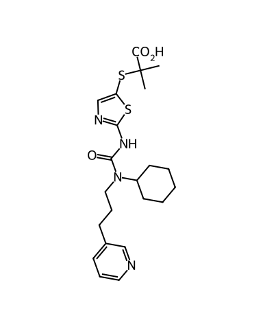 CC(C)(Sc1cnc(NC(=O)N(CCCc2cccnc2)C2CCCCC2)s1)C(=O)O